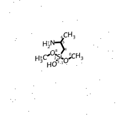 CO[Si](O)(CC(C)N)OC